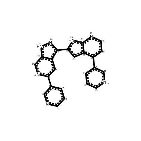 c1cncc(-c2cc3c(-c4cc5c(-c6cccnc6)ccnc5[nH]4)n[nH]c3cn2)c1